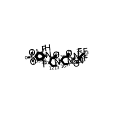 CS(=O)(=O)c1cc(F)c(NC2CCCN(C3CCN(c4nc(C(F)(F)F)no4)C(=O)C3)C2=O)c(F)c1